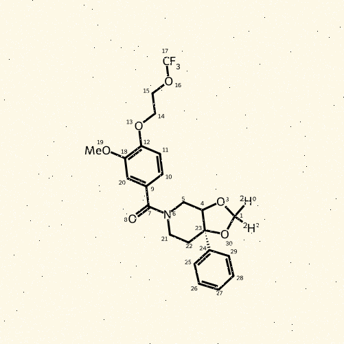 [2H]C1([2H])OC2CN(C(=O)c3ccc(OCCOC(F)(F)F)c(OC)c3)CC[C@]2(c2ccccc2)O1